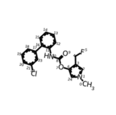 Cn1cc(CF)c(OC(=O)Nc2ccccc2-c2cccc(Cl)c2)c1